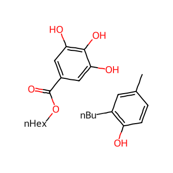 CCCCCCOC(=O)c1cc(O)c(O)c(O)c1.CCCCc1cc(C)ccc1O